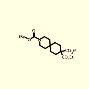 CCOC(=O)C1(C(=O)OCC)CCC2(CCN(C(=O)OC(C)(C)C)CC2)CC1